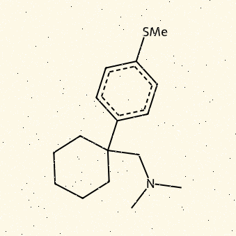 CSc1ccc(C2(CN(C)C)CCCCC2)cc1